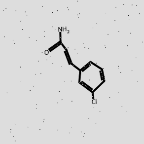 NC(=O)C=Cc1cccc(Cl)c1